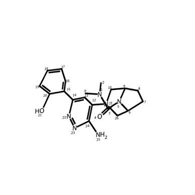 CN(C)C(=O)N1C2CCC1CN(c1cc(-c3ccccc3O)nnc1N)C2